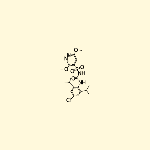 COc1cc(S(=O)(=O)NC(=O)Nc2c(C(C)C)cc(Cl)cc2C(C)C)c(OC)nn1